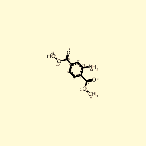 COC(=O)c1ccc(C(=O)OO)cc1N